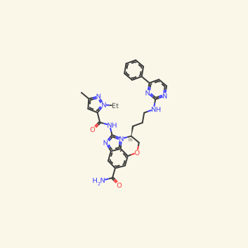 CCn1nc(C)cc1C(=O)Nc1nc2cc(C(N)=O)cc3c2n1[C@@H](CCCNc1nccc(-c2ccccc2)n1)CO3